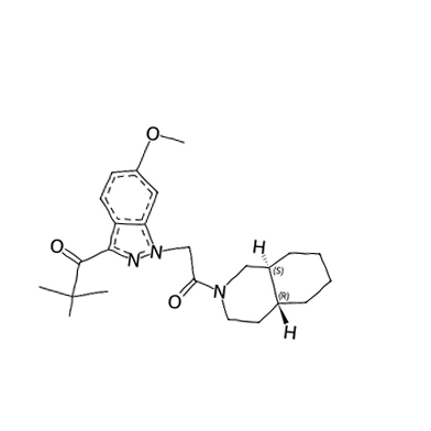 COc1ccc2c(C(=O)C(C)(C)C)nn(CC(=O)N3CC[C@H]4CCCC[C@@H]4C3)c2c1